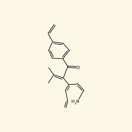 C=C/C=C(\C=C/N)C(C(=O)c1ccc(C=C)cc1)=C(C)C